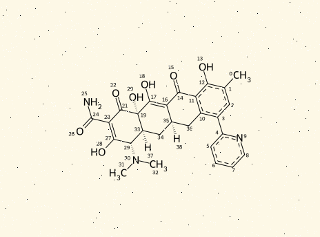 Cc1cc(-c2ccccn2)c2c(c1O)C(=O)C1=C(O)[C@]3(O)C(=O)C(C(N)=O)=C(O)[C@@H](N(C)C)[C@@H]3C[C@@H]1C2